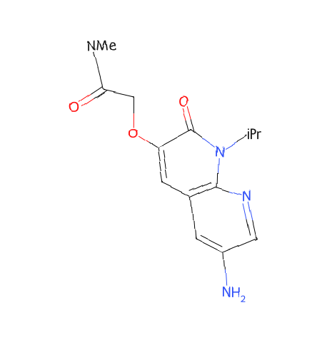 CNC(=O)COc1cc2cc(N)cnc2n(C(C)C)c1=O